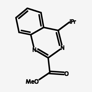 COC(=O)c1nc(C(C)C)c2ccccc2n1